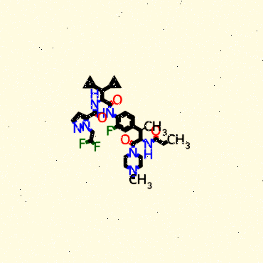 CCC(=O)N[C@@H](C(=O)N1CCN(C)CC1)[C@@H](C)c1ccc(NC(=O)[C@@H](NC(=O)c2ccnn2CC(F)F)C(C2CC2)C2CC2)c(F)c1